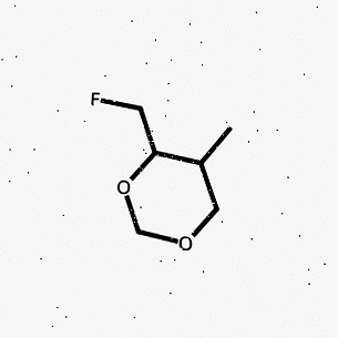 CC1COCOC1CF